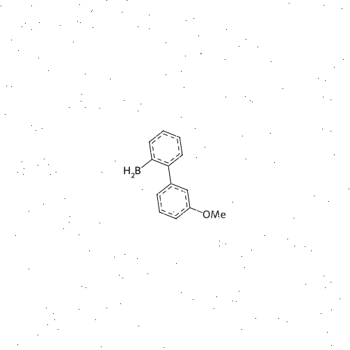 Bc1ccccc1-c1cccc(OC)c1